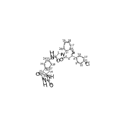 O=C(CN1C(=O)CC(c2ccc(Cl)cc2)Sc2ccccc21)Nc1ccc2c(c1)CC1(C2)NC(=O)NC1=O